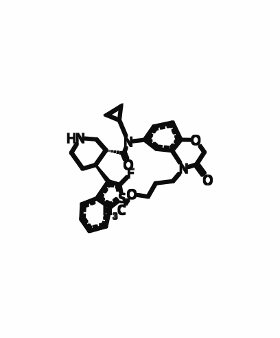 COCCCN1C(=O)COc2ccc(N(C(=O)[C@H]3CNCC[C@@H]3c3c(F)sc4ccccc34)C3CC3)cc21